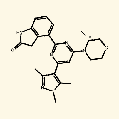 Cc1nn(C)c(C)c1-c1cc(N2CCOC[C@H]2C)nc(-c2cccc3c2CC(=O)N3)n1